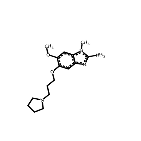 COc1cc2c(cc1OCCCN1CCCC1)nc(N)n2C